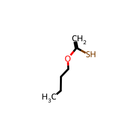 C=C(S)OCCCC